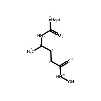 CCCCCCCC(=O)NC(C)CCC(=S)NO